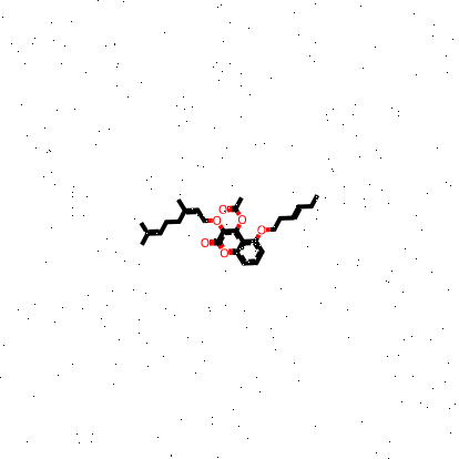 CCC=CCCOc1cccc2oc(=O)c(OCC=C(C)CCC=C(C)C)c(OC(C)=O)c12